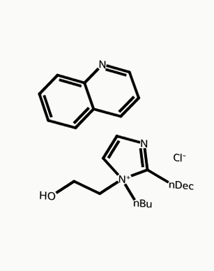 CCCCCCCCCCC1=NC=C[N+]1(CCO)CCCC.[Cl-].c1ccc2ncccc2c1